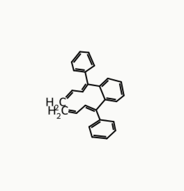 C=C/C=C(\c1ccccc1)c1ccccc1/C(=C/C=C)c1ccccc1